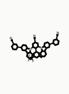 Cc1cc(-c2c(-n3c4ccccc4c4cc(-c5cccc(C#N)c5)ccc43)cc(C#N)cc2-n2c3ccccc3c3cc(-c4cccc(C#N)c4)ccc32)cc(C(F)(F)F)c1